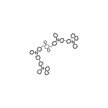 O=C1CC(Cc2ccc(N(c3ccccc3)c3ccc(-c4ccc(N(c5ccccc5)c5cccc6ccccc56)cc4)cc3)cc2)C(=O)CC1Cc1ccc(N(c2ccccc2)c2ccc(-c3ccc(N(c4ccccc4)c4cccc5ccccc45)cc3)cc2)cc1